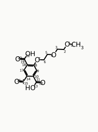 COCCOCCOc1cc(C(=O)O)c(I=O)cc1C(=O)O